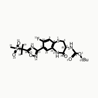 CC(C)(C)OC(=O)N[C@H]1CSc2cc(F)c(-c3noc(C(C)(C)S(C)(=O)=O)n3)cc2NC1=O